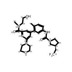 Cc1ccc(NC(=O)N2CC[C@@H](CC(F)(F)F)C2)cc1-c1cc(C(=O)N(C)CCO)nc(N2CCOCC2)c1